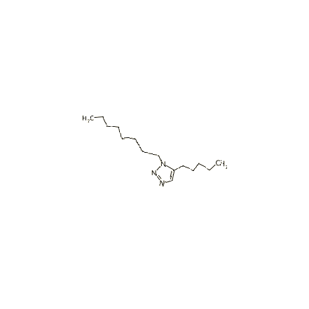 CCCCCCCCn1nncc1CCCCC